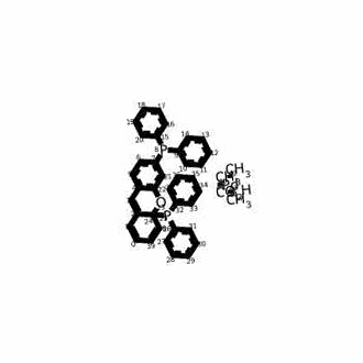 C1=CC2=Cc3ccc(P(c4ccccc4)c4ccccc4)cc3OC2(P(c2ccccc2)c2ccccc2)C=C1.CC(=O)O.[CH3][Pd][CH3]